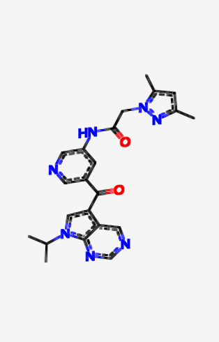 Cc1cc(C)n(CC(=O)Nc2cncc(C(=O)c3cn(C(C)C)c4ncncc34)c2)n1